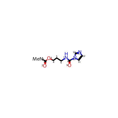 CNC(=O)OCCCNC(=O)n1ccnc1